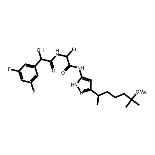 CCC(NC(=O)C(O)c1cc(F)cc(F)c1)C(=O)Nc1cc(C(C)CCCC(C)(C)OC)n[nH]1